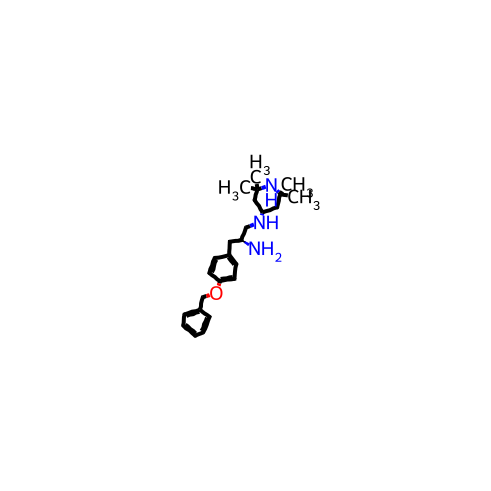 CC1(C)CC(NC[C@@H](N)Cc2ccc(OCc3ccccc3)cc2)CC(C)(C)N1